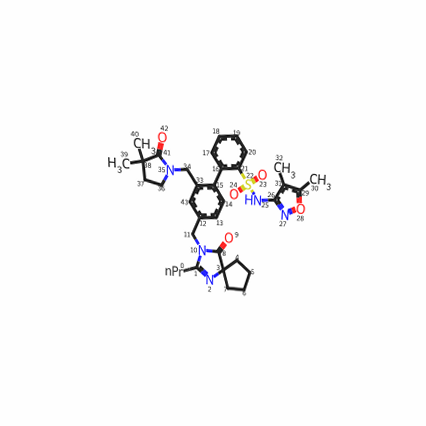 CCCC1=NC2(CCCC2)C(=O)N1Cc1ccc(-c2ccccc2S(=O)(=O)Nc2noc(C)c2C)c(CN2CCC(C)(C)C2=O)c1